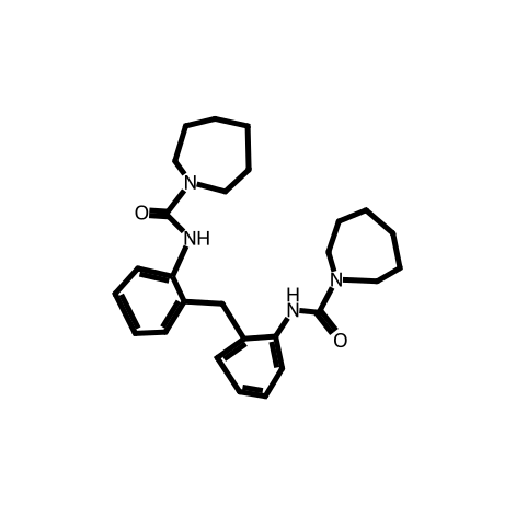 O=C(Nc1ccccc1Cc1ccccc1NC(=O)N1CCCCCC1)N1CCCCCC1